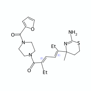 CC/C(=C\C=C(/CC)C1(C)CCSC(N)=N1)C(=O)N1CCN(C(=O)c2ccco2)CC1